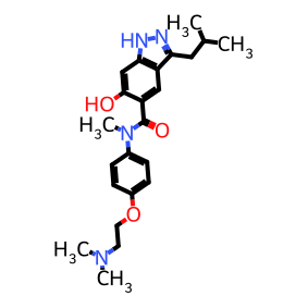 CC(C)Cc1n[nH]c2cc(O)c(C(=O)N(C)c3ccc(OCCN(C)C)cc3)cc12